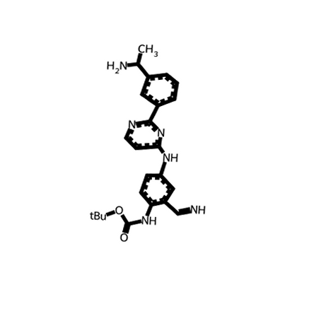 CC(N)c1cccc(-c2nccc(Nc3ccc(NC(=O)OC(C)(C)C)c(C=N)c3)n2)c1